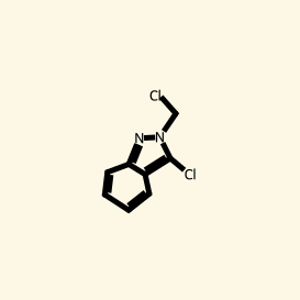 ClCn1nc2ccccc2c1Cl